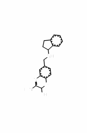 CC1Oc2ccc(CNC3CCc4ccccc43)cc2N=C1N